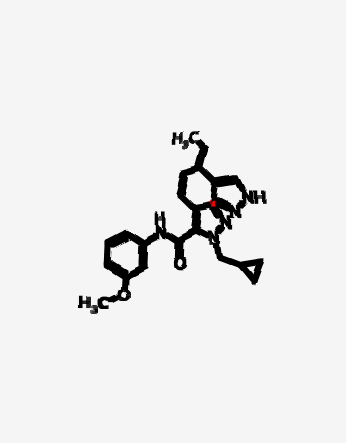 C/C=C(\C=C/c1cnn(CC2CC2)c1C(=O)Nc1cccc(OC)c1)c1cn[nH]c1